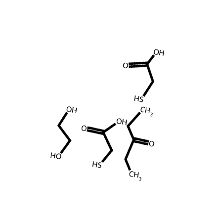 CCC(=O)CC.O=C(O)CS.O=C(O)CS.OCCO